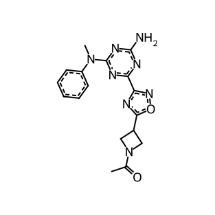 CC(=O)N1CC(c2nc(-c3nc(N)nc(N(C)c4ccccc4)n3)no2)C1